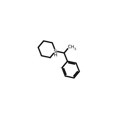 CC(c1[c]cccc1)[SiH]1CCCCC1